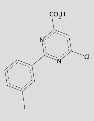 O=C(O)c1cc(Cl)nc(-c2cccc(I)c2)n1